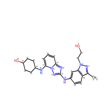 Cc1nn(CCO)c2cc(Nc3nc4cccc(NC5CCC(O)CC5)n4n3)ccc12